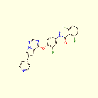 O=C(Nc1ccc(Oc2ncnn3cc(-c4ccncc4)cc23)c(F)c1)c1c(F)cccc1F